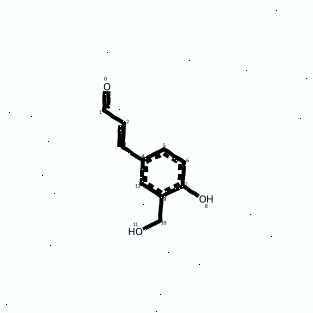 O=CC=Cc1ccc(O)c(CO)c1